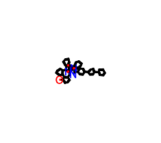 C1=CC(c2nc(-c3ccccc3)nc(-c3cccc4oc5cccc(-c6ccc(-c7ccccc7)cc6)c5c34)n2)CC=C1c1ccc(-c2ccccc2)cc1